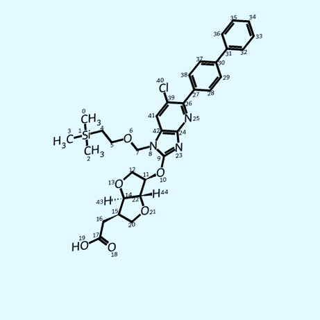 C[Si](C)(C)CCOCn1c(O[C@@H]2CO[C@@H]3[C@H](CC(=O)O)CO[C@H]32)nc2nc(-c3ccc(-c4ccccc4)cc3)c(Cl)cc21